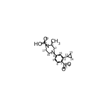 CC1CN(c2ccc([N+](=O)[O-])c(C3CC3)c2)CCN1C(=O)O